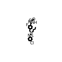 CCCCN(Cc1ccc(-c2noc(=O)[nH]2)c(F)c1)c1nc2ccc(Cl)cc2s1